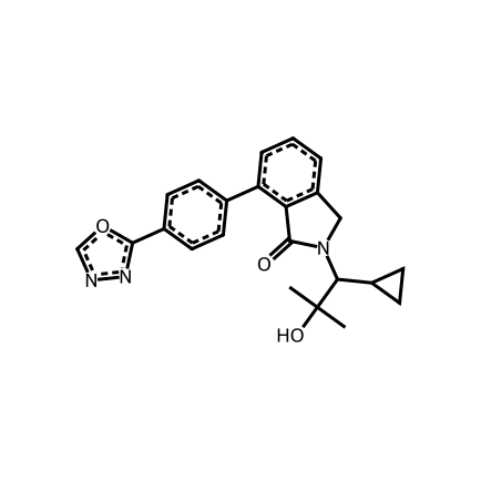 CC(C)(O)C(C1CC1)N1Cc2cccc(-c3ccc(-c4nnco4)cc3)c2C1=O